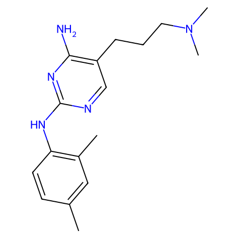 Cc1ccc(Nc2ncc(CCCN(C)C)c(N)n2)c(C)c1